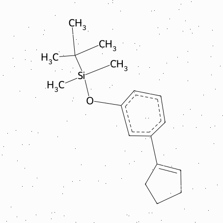 CC(C)(C)[Si](C)(C)Oc1cccc(C2=CCCC2)c1